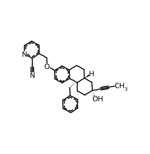 CC#C[C@@]1(O)CC[C@@]2(Cc3ccccc3)c3ccc(OCc4cccnc4C#N)cc3CC[C@@H]2C1